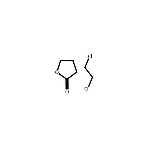 ClCCCl.O=C1CCCO1